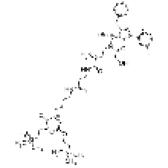 CC(C)(C)[C@H](c1cc(-c2cc(F)ccc2F)cn1Cc1ccccc1)N(CC[C@H](N)C(=O)NCCC(=O)NCCCC[C@H](NC(=O)OCC[Si](C)(C)C)C(=O)OCC[Si](C)(C)C)C(=O)CO